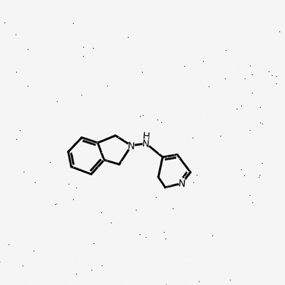 C1=NCCC(NN2Cc3ccccc3C2)=C1